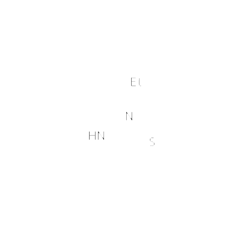 [CH2]CN1NC=CS1